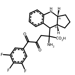 NC(CC(=O)C(=O)c1cc(F)c(F)c(F)c1)(C(=O)O)C1c2ccccc2N[C@@H]2CCC[C@H]12